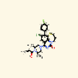 C=CC(=O)N1C(C)CN(c2nc(=O)n3c4c(c(-c5ccc(F)cc5)c(Cl)cc24)SCCC3)CC1C